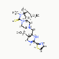 CCOC(=O)CC(C)(C)N(C)C(=S)N1CCN(CC2=C(C(=O)OCC)CN=C(c3nccs3)N2)CC1